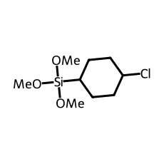 CO[Si](OC)(OC)C1CCC(Cl)CC1